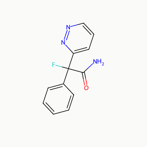 NC(=O)C(F)(c1ccccc1)c1cccnn1